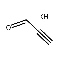 C#CC=O.[KH]